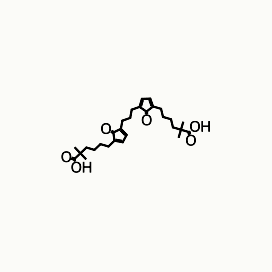 CC(C)(CCCCC1=CC=C(CCCC2=CC=C(CCCCC(C)(C)C(=O)O)C2=O)C1=O)C(=O)O